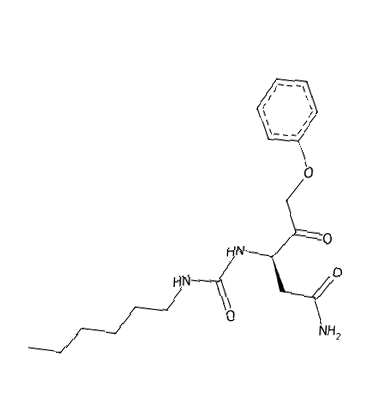 CCCCCCNC(=O)N[C@H](CC(N)=O)C(=O)COc1ccccc1